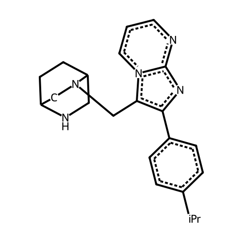 CC(C)c1ccc(-c2nc3ncccn3c2CN2CC3CCC2CN3)cc1